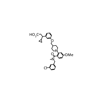 COc1ccc(C(=O)N(C)Cc2cccc(Cl)c2)c(N2CCC(COc3cccc(C(CC(=O)O)C4CC4)c3)CC2)c1